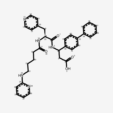 O=C(O)CC(NC(=O)[C@H](Cc1ccncc1)NC(=O)CCCCNc1ccccn1)c1ccc(-c2ccccc2)cc1